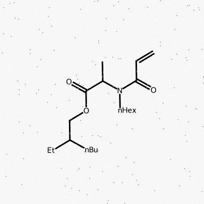 C=CC(=O)N(CCCCCC)C(C)C(=O)OCC(CC)CCCC